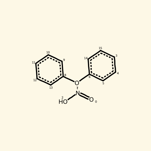 O=NO.c1ccc(Oc2ccccc2)cc1